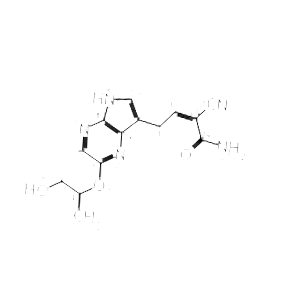 CC(CO)Oc1cnc2[nH]cc(CC=C(C#N)C(N)=O)c2n1